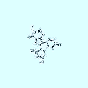 CCOC(=O)c1nn(-c2ccc(Cl)cc2Cl)c(-c2ccc(Cl)cc2)c1CO